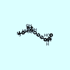 Cc1ncsc1-c1ccc(CNC(=O)[C@@H]2C[C@@H](O)CN2C(=O)[C@@H](NC(=O)[C@H]2CC[C@H](N3CCC(N4CCC(c5ccc6[nH]c7nnc(-c8ccccc8O)cc7c6c5)CC4)CC3)CC2)C(C)(C)C)cc1